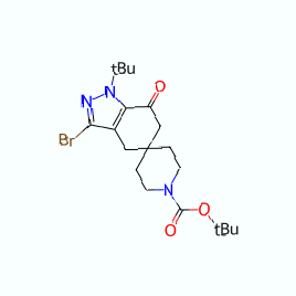 CC(C)(C)OC(=O)N1CCC2(CC1)CC(=O)c1c(c(Br)nn1C(C)(C)C)C2